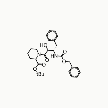 CC(C)(C)OC(=O)C1CCCCN1C(=O)[C@@H](O)[C@H](Cc1ccccc1)NC(=O)OCc1ccccc1